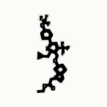 CCOC(=O)Cn1ccc2ccc(OCc3c(C(F)(F)F)cc(-c4ccc(OC(F)(F)F)cc4)nc3CC3CC3)cc21